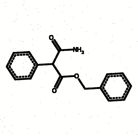 NC(=O)C(C(=O)OCc1ccccc1)c1ccccc1